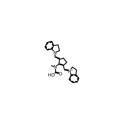 CN(C(=O)O)C1=C(/C=[N+]2\CCc3ccccc32)CC/C1=C\N1CCc2ccccc21